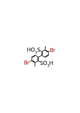 Cc1c(Br)ccc(-c2ccc(Br)c(C)c2S(=O)(=O)O)c1S(=O)(=O)O